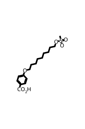 CS(=O)(=O)OCCCCCCCCCOc1ccc(C(=O)O)cc1